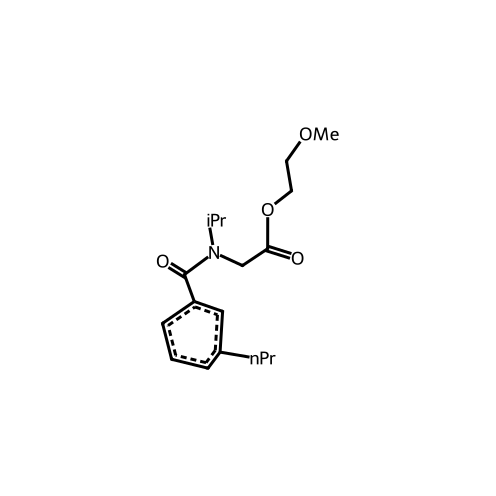 CCCc1cccc(C(=O)N(CC(=O)OCCOC)C(C)C)c1